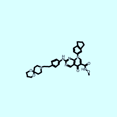 CONC(=O)c1cn(-c2ccc3c(c2)CCC3)c2nc(Nc3ccc(CCN4CCC5(CC4)OCCCO5)cc3)ncc2c1=O